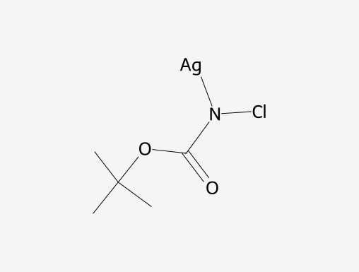 CC(C)(C)OC(=O)[N](Cl)[Ag]